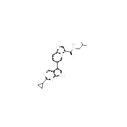 O=C(NCC(F)F)c1cnc2ccc(-c3c[nH]c4nc(C5CC5)ncc34)cn12